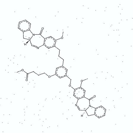 COC(=O)CCCOc1cc(CCCc2cc3c(cc2OC)C(=O)N2c4ccccc4C[C@H]2C=N3)cc(COc2cc3c(cc2OC)C(=O)N2c4ccccc4C[C@H]2C=N3)c1